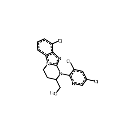 OCC1CCn2c(nc3c(Cl)cccc32)N1c1ncc(Cl)cc1Cl